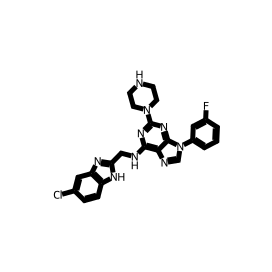 Fc1cccc(-n2cnc3c(NCc4nc5cc(Cl)ccc5[nH]4)nc(N4CCNCC4)nc32)c1